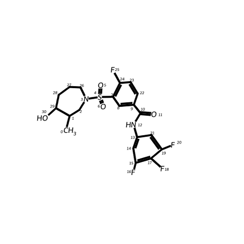 CC1CN(S(=O)(=O)c2cc(C(=O)Nc3cc(F)c(F)c(F)c3)ccc2F)CCCC1O